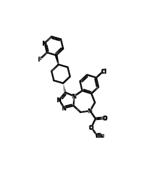 CC(C)(C)OC(=O)N1Cc2cc(Cl)ccc2-n2c(nnc2[C@H]2CC[C@H](c3cccnc3F)CC2)C1